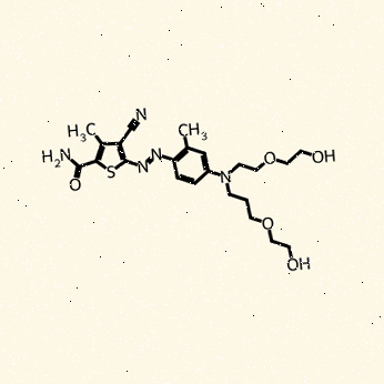 Cc1cc(N(CCCOCCO)CCOCCO)ccc1/N=N/c1sc(C(N)=O)c(C)c1C#N